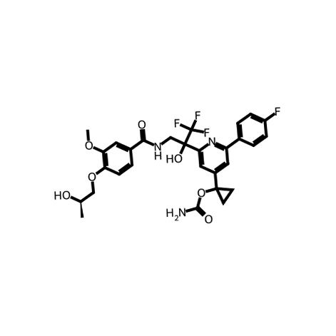 COc1cc(C(=O)NCC(O)(c2cc(C3(OC(N)=O)CC3)cc(-c3ccc(F)cc3)n2)C(F)(F)F)ccc1OC[C@@H](C)O